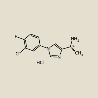 C[C@H](N)c1cn(-c2ccc(F)c(Cl)c2)cn1.Cl